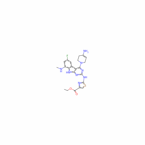 CCOC(=O)c1csc(Nc2nc(N3CC=C(N)CC3)c3c(n2)[nH]c2c(NC)cc(F)cc23)n1